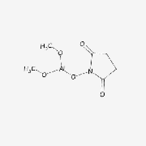 C[O][Al]([O]C)[O]N1C(=O)CCC1=O